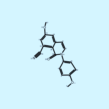 COc1ccc(-n2ccc3cc(OC)cc(C#N)c3c2=O)cc1